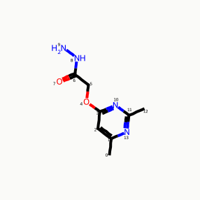 Cc1cc(OCC(=O)NN)nc(C)n1